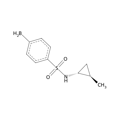 Bc1ccc(S(=O)(=O)N[C@@H]2C[C@H]2C)cc1